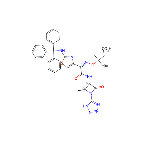 C[C@H]1[C@H](NC(=O)/C(=N\OC(C)(CC(=O)O)C(C)(C)C)c2csc(NC(c3ccccc3)(c3ccccc3)c3ccccc3)n2)C(=O)N1c1nnn[nH]1